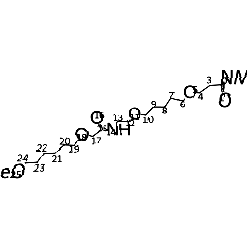 CNC(=O)CCOCCCCCOCCNC(=O)COCCCCCCOC